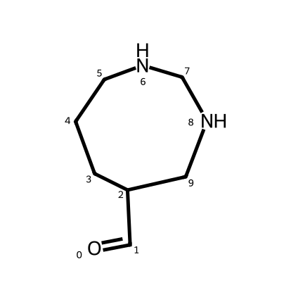 O=CC1CCCNCNC1